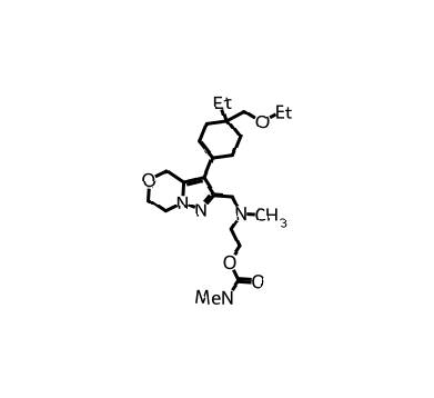 CCOCC1(CC)CCC(c2c(CN(C)CCOC(=O)NC)nn3c2COCC3)CC1